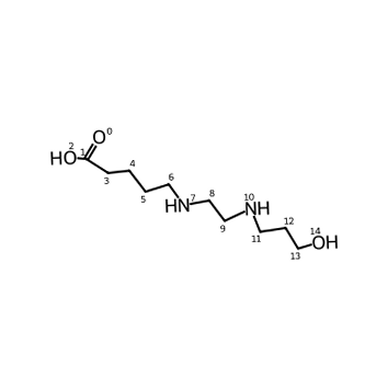 O=C(O)CCCCNCCNCCCO